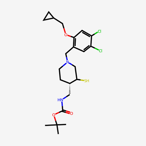 CC(C)(C)OC(=O)NC[C@@H]1CCN(Cc2cc(Cl)c(Cl)cc2OCC2CC2)CC1S